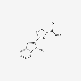 COC(=O)C1CSC(c2cc3ccccc3n2C)=N1